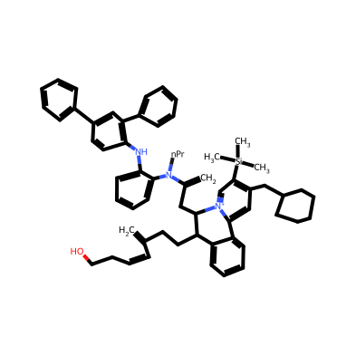 C=C(/C=C\CCO)CCC1c2ccccc2-c2cc(CC3CCCCC3)c([Si](C)(C)C)c[n+]2C1CC(=C)N(CCC)c1ccccc1Nc1ccc(-c2ccccc2)cc1-c1ccccc1